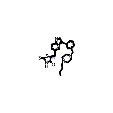 CCCCN1CCN(Cc2cccc(-c3cnc4ccc(/C=C5\SC(=S)NC5=O)cn34)c2)CC1